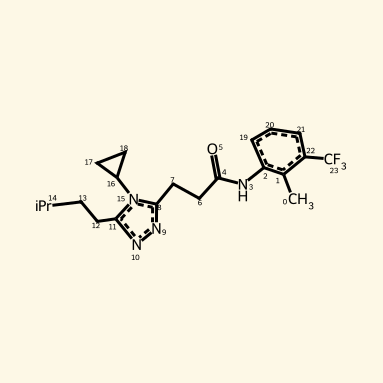 Cc1c(NC(=O)CCc2nnc(CCC(C)C)n2C2CC2)cccc1C(F)(F)F